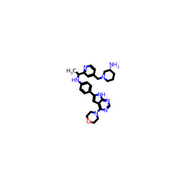 CC(Nc1ccc(-c2cc3c(N4CCOCC4)ncnc3[nH]2)cc1)c1cc(CN2CCC[C@@H](N)C2)ccn1